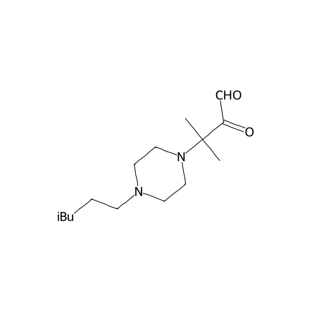 CCC(C)CCN1CCN(C(C)(C)C(=O)C=O)CC1